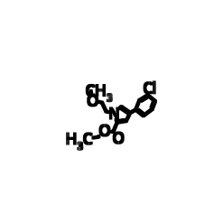 CCOC(=O)c1cc(-c2cccc(Cl)c2)cn1CCOC